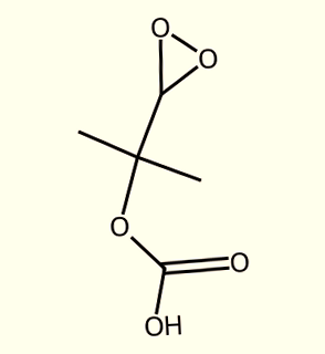 CC(C)(OC(=O)O)C1OO1